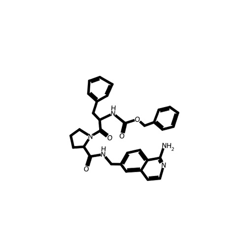 Nc1nccc2cc(CNC(=O)C3CCCN3C(=O)C(Cc3ccccc3)NC(=O)OCc3ccccc3)ccc12